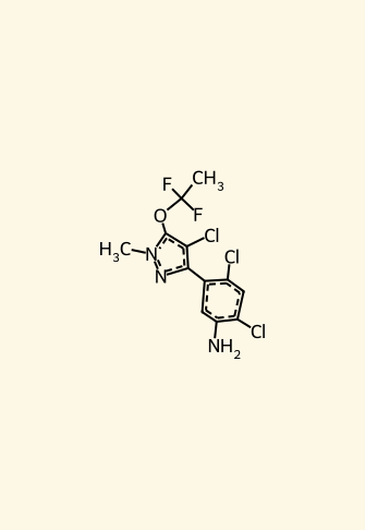 Cn1nc(-c2cc(N)c(Cl)cc2Cl)c(Cl)c1OC(C)(F)F